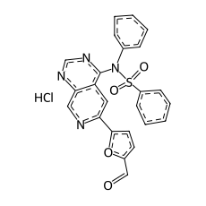 Cl.O=Cc1ccc(-c2cc3c(N(c4ccccc4)S(=O)(=O)c4ccccc4)ncnc3cn2)o1